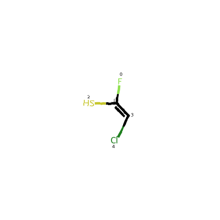 FC(S)=CCl